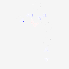 CN1CCN(c2ccc(-c3ccc4cnn(C(C(=O)Nc5nccs5)c5ccccc5)c(=O)c4c3)cc2)CC1